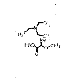 CCN(CC)CC.COC(=N)C(=O)O